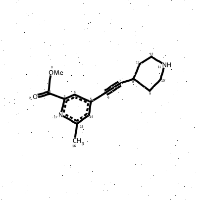 COC(=O)c1cc(C#CC2CCNCC2)cc(C)n1